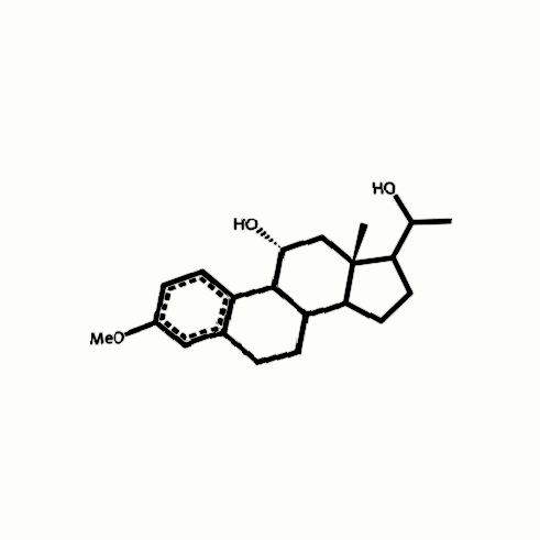 COc1ccc2c(c1)CCC1C2[C@H](O)C[C@]2(C)C(C(C)O)CCC12